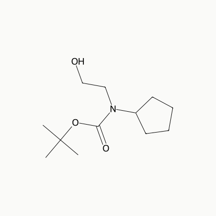 CC(C)(C)OC(=O)N(CCO)C1CCCC1